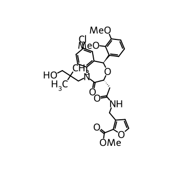 COC(=O)c1occc1CNC(=O)C[C@H]1O[C@H](c2cccc(OC)c2OC)c2cc(Cl)ccc2N(CC(C)(C)CO)C1=O